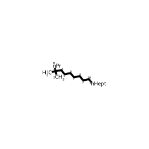 [CH2]CCC(C)(C)CCCCCCCCCCCCCC